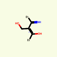 CCC(=N)/C(CO)=C(\O)CC